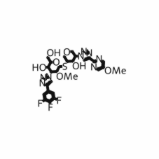 COc1cnc(-c2cn(C3COCC(SC4OC(CO)C(O)C(n5cc(-c6cc(F)c(F)c(F)c6)nn5)C4OC)C3O)nn2)nc1